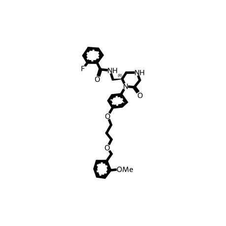 COc1ccccc1COCCCOc1ccc(N2C(=O)CNC[C@@H]2CNC(=O)c2ccccc2F)cc1